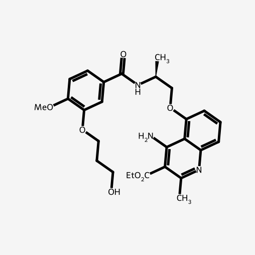 CCOC(=O)c1c(C)nc2cccc(OC[C@H](C)NC(=O)c3ccc(OC)c(OCCCO)c3)c2c1N